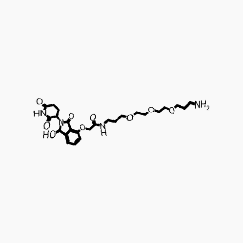 NCCCOCCOCCOCCCNC(=O)COc1cccc2c1C(=O)N(C1CCC(=O)NC1=O)C2O